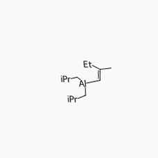 CC/C(C)=[CH]\[Al]([CH2]C(C)C)[CH2]C(C)C